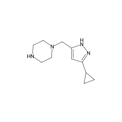 c1c(C2CC2)n[nH]c1CN1CCNCC1